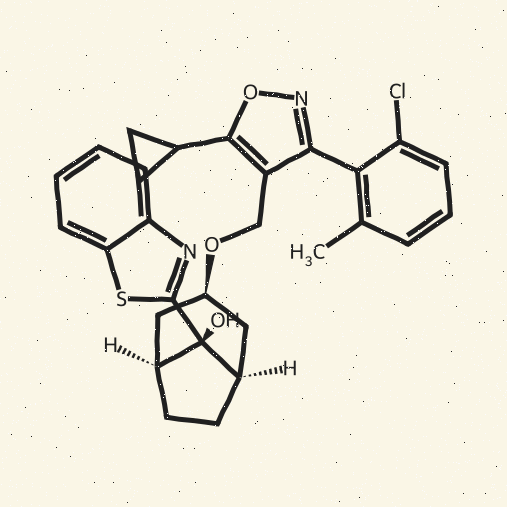 Cc1cccc(Cl)c1-c1noc(C2CC2)c1CO[C@H]1C[C@H]2CC[C@@H](C1)[C@]2(O)c1nc2ccccc2s1